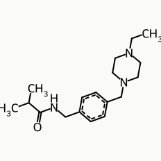 CCN1CCN(Cc2ccc(CNC(=O)C(C)C)cc2)CC1